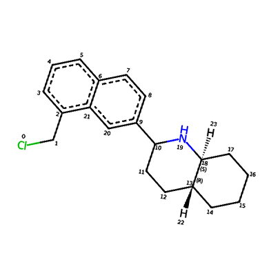 ClCc1cccc2ccc(C3CC[C@H]4CCCC[C@@H]4N3)cc12